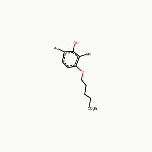 CCCc1c(OCCCCC(=O)OCC)ccc(C(C)=O)c1O